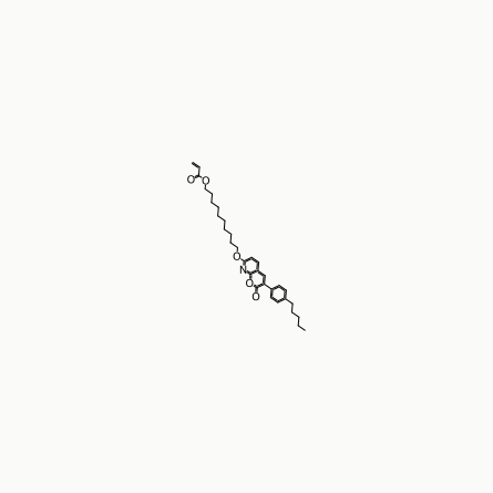 C=CC(=O)OCCCCCCCCCCOc1ccc2cc(-c3ccc(CCCCC)cc3)c(=O)oc2n1